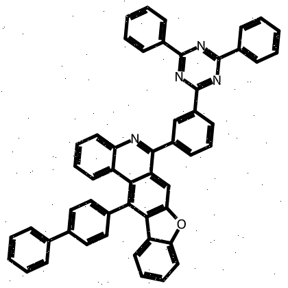 c1ccc(-c2ccc(-c3c4c(cc5c(-c6cccc(-c7nc(-c8ccccc8)nc(-c8ccccc8)n7)c6)nc6ccccc6c35)oc3ccccc34)cc2)cc1